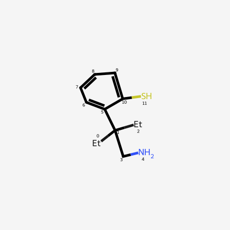 CCC(CC)(CN)c1ccccc1S